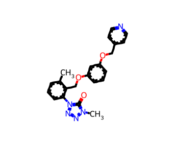 Cc1cccc(-n2nnn(C)c2=O)c1COc1cccc(OCc2ccncc2)c1